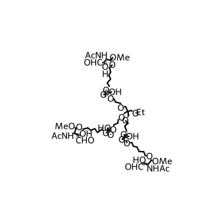 CCOCC(COCCCOP(=O)(O)OCCCCCCOC(OC)C(NC(C)=O)[C@H](O)C=O)(COCCCOP(=O)(O)OCCCCCCOC(OC)C(NC(C)=O)[C@H](O)C=O)COCCCOP(=O)(O)OCCCCCCOC(OC)C(NC(C)=O)[C@H](O)C=O